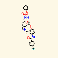 CN1C(=O)c2cc(NC(=O)c3ccc(C(F)(F)F)cc3)ccc2OC[C@@H]2O[C@H](CNC(=O)Oc3ccccc3)CC[C@@H]21